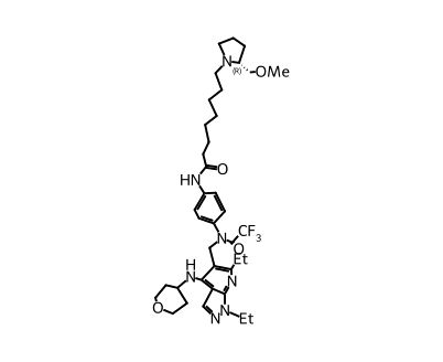 CCc1nc2c(cnn2CC)c(NC2CCOCC2)c1CN(C(=O)C(F)(F)F)c1ccc(NC(=O)CCCCCCCN2CCC[C@@H]2COC)cc1